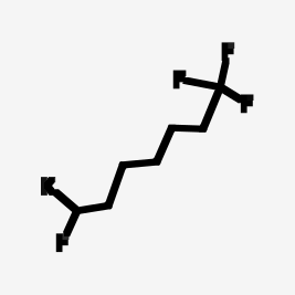 F[CH]([K])CCCCCC(F)(F)F